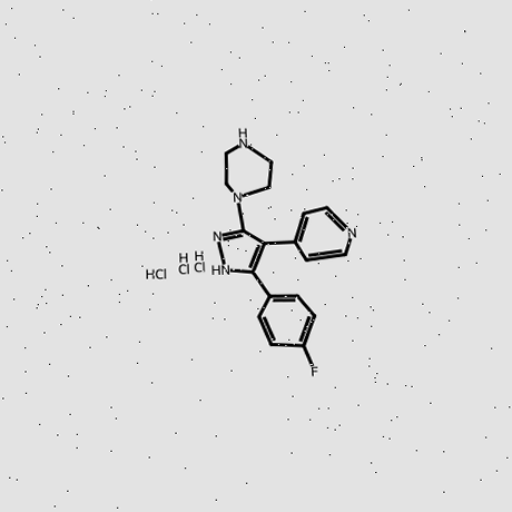 Cl.Cl.Cl.Fc1ccc(-c2[nH]nc(N3CCNCC3)c2-c2ccncc2)cc1